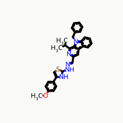 COc1ccc(C2=CSC(NN=Cc3cc4c5ccccc5n(Cc5ccccc5)c4c(C(C)C)n3)N2)cc1